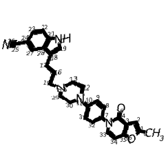 Cc1cc2c(=O)n(-c3ccc(N4CCN(CCCc5c[nH]c6ccc(C#N)cc56)CC4)cc3)ccc2o1